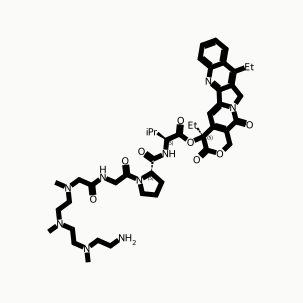 CCc1c2c(nc3ccccc13)-c1cc3c(c(=O)n1C2)COC(=O)[C@@]3(CC)OC(=O)[C@@H](NC(=O)[C@@H]1CCCN1C(=O)CNC(=O)CN(C)CCN(C)CCN(C)CCN)C(C)C